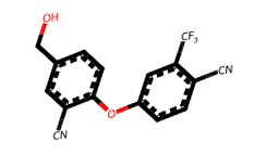 N#Cc1cc(CO)ccc1Oc1ccc(C#N)c(C(F)(F)F)c1